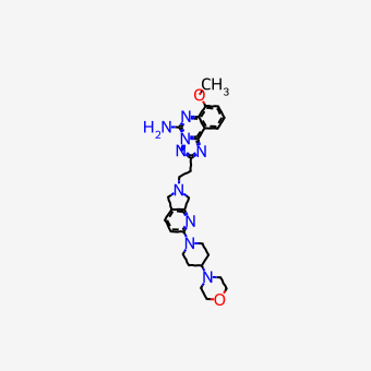 COc1cccc2c1nc(N)n1nc(CCN3Cc4ccc(N5CCC(N6CCOCC6)CC5)nc4C3)nc21